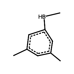 CBc1cc(C)cc(C)c1